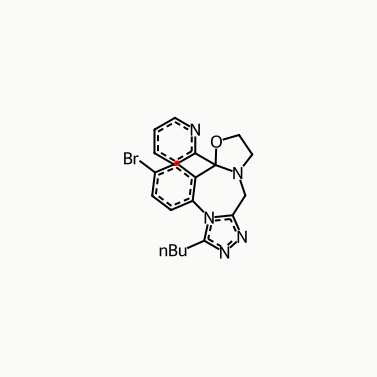 CCCCc1nnc2n1-c1ccc(Br)cc1C1(c3ccccn3)OCCN1C2